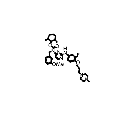 COc1cccc(CN(C(=O)OC2C(C)CCCC2C)c2ccnc(Nc3ccc(OCCCN4CCN(C)CC4)c(F)c3)n2)c1